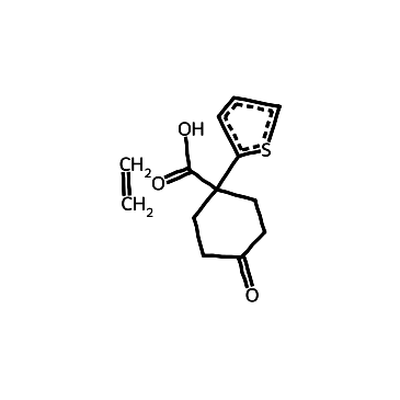 C=C.O=C1CCC(C(=O)O)(c2cccs2)CC1